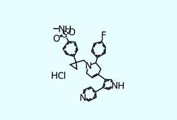 CNS(=O)(=O)c1ccc(C2(CN3CC=C(c4c[nH]cc4-c4ccncc4)CC3c3ccc(F)cc3)CC2)cc1.Cl